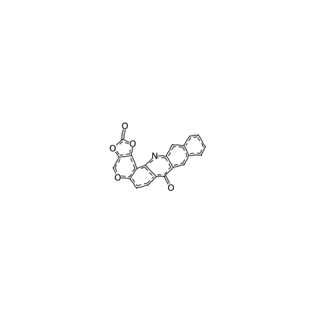 O=c1oc2coc3ccc4c(=O)c5cc6ccccc6cc5nc4c3c2o1